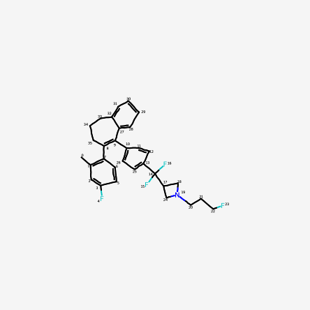 Cc1cc(F)ccc1C1=C(c2ccc(C(F)(F)C3CN(CCCF)C3)cc2)c2ccccc2CCC1